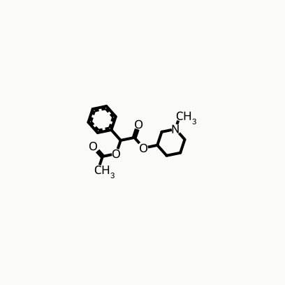 CC(=O)OC(C(=O)OC1CCCN(C)C1)c1ccccc1